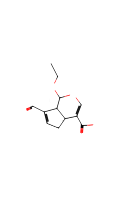 CCOC1OC=C(C(=O)O)[C@H]2CC=C(C=O)[C@@H]12